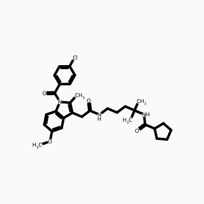 COc1ccc2c(c1)c(CC(=O)NCCCC(C)(C)NC(=O)C1CCCC1)c(C)n2C(=O)c1ccc(Cl)cc1